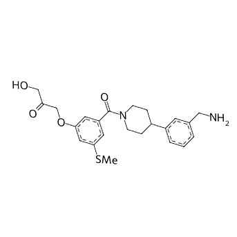 CSc1cc(OCC(=O)CO)cc(C(=O)N2CCC(c3cccc(CN)c3)CC2)c1